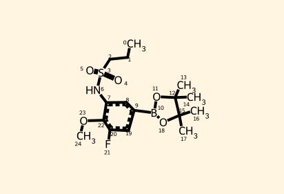 CCCS(=O)(=O)Nc1cc(B2OC(C)(C)C(C)(C)O2)cc(F)c1OC